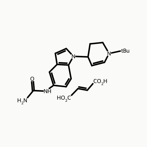 CC(C)(C)N1C=CC(n2ccc3cc(NC(N)=O)ccc32)CC1.O=C(O)/C=C/C(=O)O